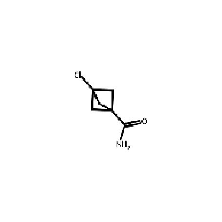 NC(=O)C12CC(Cl)(C1)C2